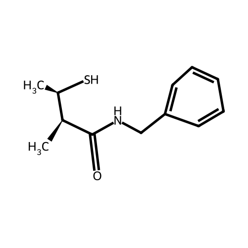 C[C@H](C(=O)NCc1ccccc1)[C@@H](C)S